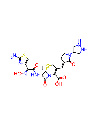 Nc1nc(C(=NO)C(=O)N[C@@H]2C(=O)N3C(C(=O)O)=C(C=C4CCN(C5CNNC5)C4=O)CS[C@H]23)cs1